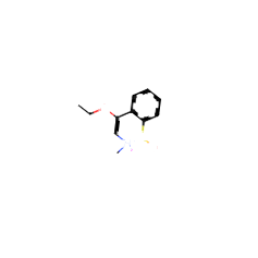 CCOC1=[C][N+](C)([O-])[S+]([O-])c2ccccc21